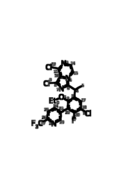 CCOc1c(C(C)c2nc(Cl)c3c(Cl)nccn23)cc(Cl)c(F)c1-c1ccc(C(F)(F)F)nc1